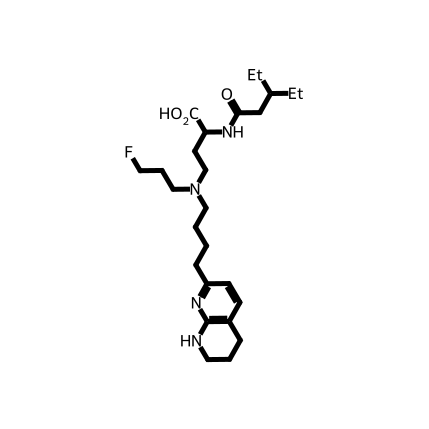 CCC(CC)CC(=O)NC(CCN(CCCF)CCCCc1ccc2c(n1)NCCC2)C(=O)O